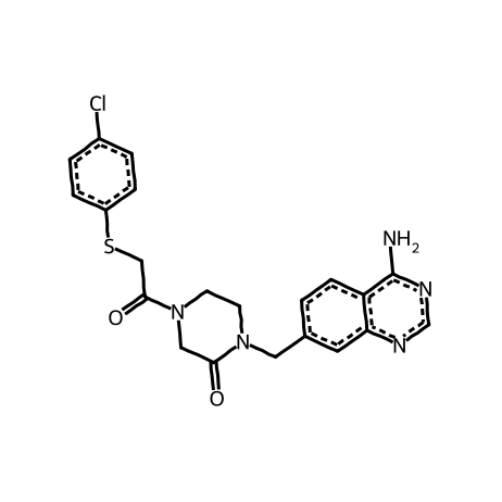 Nc1ncnc2cc(CN3CCN(C(=O)CSc4ccc(Cl)cc4)CC3=O)ccc12